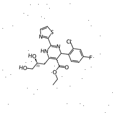 CCOC(=O)C1=C(C[C@H](O)CO)NC(c2nccs2)=NC1c1ccc(F)cc1Cl